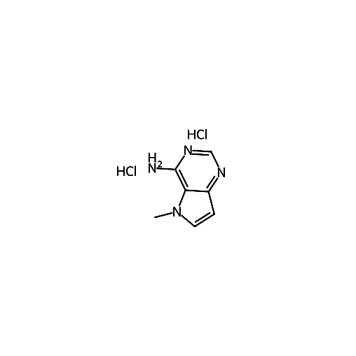 Cl.Cl.Cn1ccc2ncnc(N)c21